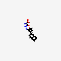 O=C(O)c1nn[nH]c1Oc1ccc(-c2ccc3ccccc3c2)cc1